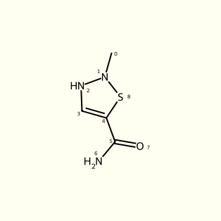 CN1NC=C(C(N)=O)S1